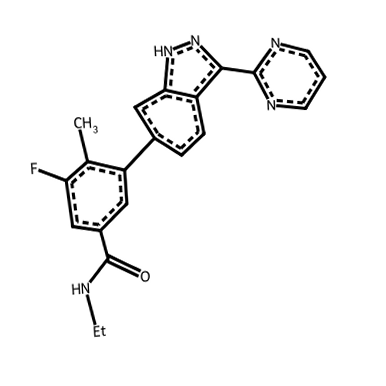 CCNC(=O)c1cc(F)c(C)c(-c2ccc3c(-c4ncccn4)n[nH]c3c2)c1